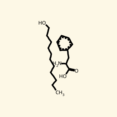 CCCCCCCCCCCO.NC(Cc1ccccc1)C(=O)O